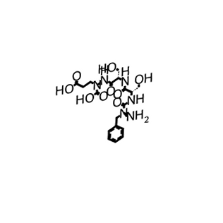 NN(Cc1ccccc1)C(=O)N[C@@H](CO)C(=O)N[C@@H](CO)C(=O)NN(CCC(=O)O)C(=O)O